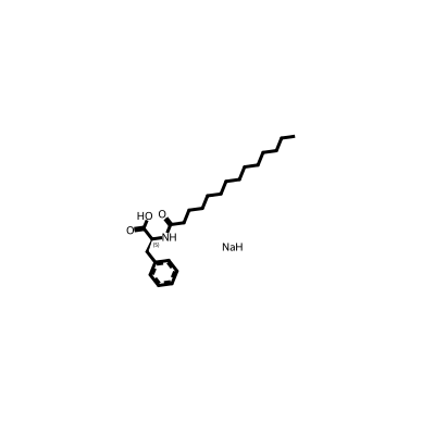 CCCCCCCCCCCCCC(=O)N[C@@H](Cc1ccccc1)C(=O)O.[NaH]